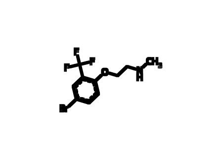 CNCCOc1ccc(Br)cc1C(F)(F)F